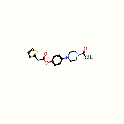 CC(=O)N1CCN(c2ccc(OC(=O)Cc3cccs3)cc2)CC1